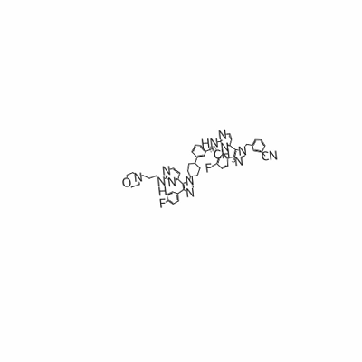 C[C@H](Nc1nccc(-c2c(-c3ccc(F)cc3)ncn2Cc2cccc(C#N)c2)n1)c1cccc(C2CCC(n3cnc(-c4ccc(F)cc4)c3-c3ccnc(NCCCN4CCOCC4)n3)CC2)c1